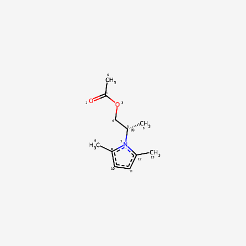 CC(=O)OC[C@H](C)n1c(C)ccc1C